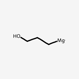 OCC[CH2][Mg]